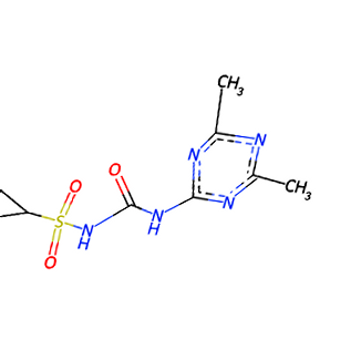 Cc1nc(C)nc(NC(=O)NS(=O)(=O)C2CC2)n1